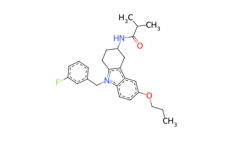 CCCOc1ccc2c(c1)c1c(n2Cc2cccc(F)c2)CCC(NC(=O)C(C)C)C1